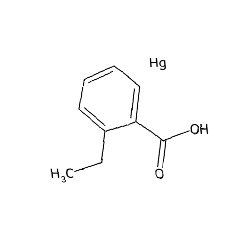 CCc1ccccc1C(=O)O.[Hg]